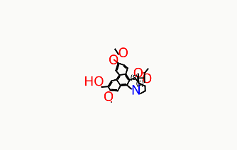 COc1cc2c3c(c4ccc(OC(C)=O)cc4c2cc1CO)[C@H](OC(C)=O)[C@@H]1CCCN1C3